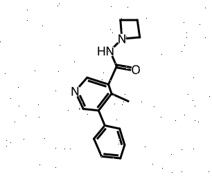 Cc1c(-c2ccccc2)[c]ncc1C(=O)NN1CCC1